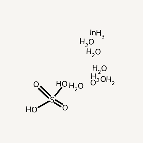 O.O.O.O.O.O.O=S(=O)(O)O.[InH3]